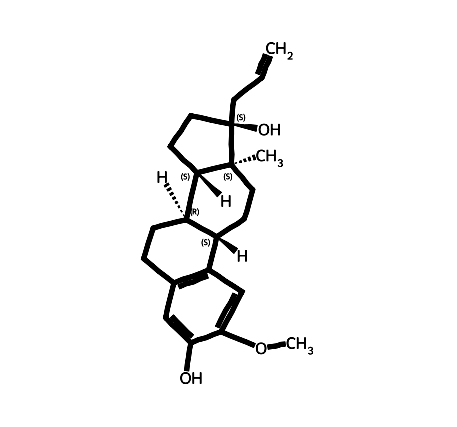 C=CC[C@@]1(O)CC[C@H]2[C@@H]3CCc4cc(O)c(OC)cc4[C@H]3CC[C@@]21C